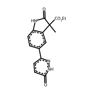 CCOC(=O)C1(C)C(=O)Nc2ccc(-c3ccc(=O)[nH]n3)cc21